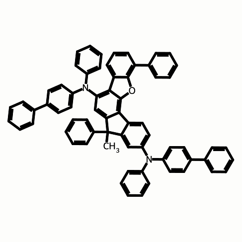 CC1(c2ccccc2)c2cc(N(c3ccccc3)c3ccc(-c4ccccc4)cc3)ccc2-c2c1cc(N(c1ccccc1)c1ccc(-c3ccccc3)cc1)c1c2oc2c(-c3ccccc3)cccc21